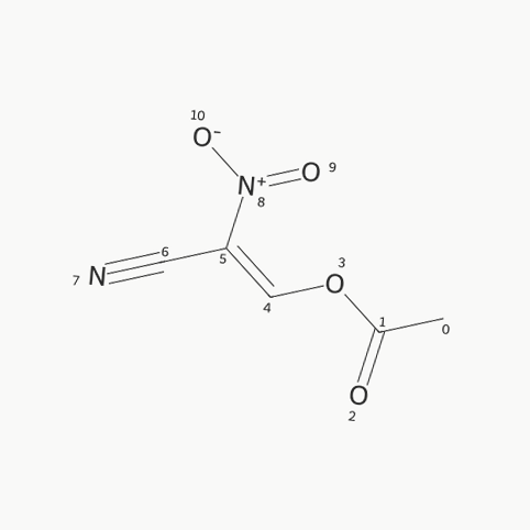 CC(=O)OC=C(C#N)[N+](=O)[O-]